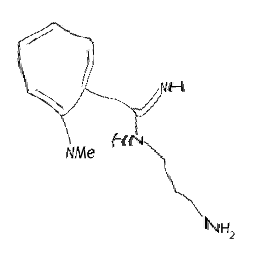 CNc1ccccc1C(=N)NCCN